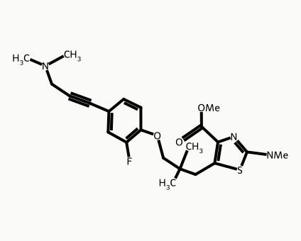 CNc1nc(C(=O)OC)c(CC(C)(C)COc2ccc(C#CCN(C)C)cc2F)s1